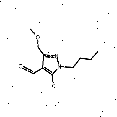 CCCCn1nc(COC)c(C=O)c1Cl